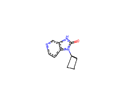 O=c1[nH]c2cnccc2n1C1CCC1